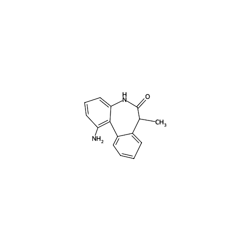 CC1C(=O)Nc2cccc(N)c2-c2ccccc21